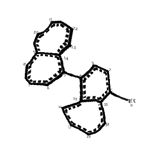 CCc1c[c]c(-c2cccc3ccccc23)c2ccccc12